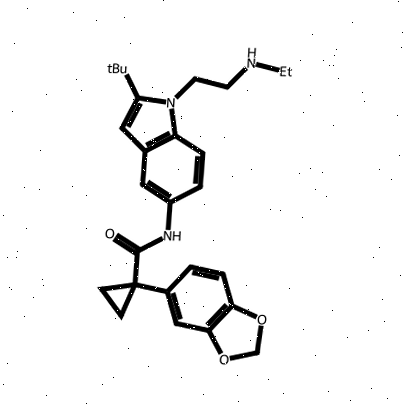 CCNCCn1c(C(C)(C)C)cc2cc(NC(=O)C3(c4ccc5c(c4)OCO5)CC3)ccc21